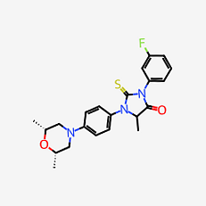 CC1C(=O)N(c2cccc(F)c2)C(=S)N1c1ccc(N2C[C@@H](C)O[C@@H](C)C2)cc1